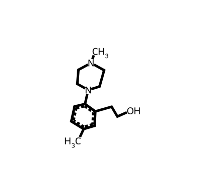 Cc1ccc(N2CCN(C)CC2)c(CCO)c1